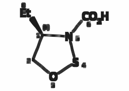 CC[C@@H]1COSN1C(=O)O